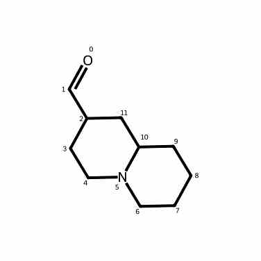 O=CC1CCN2CCCCC2C1